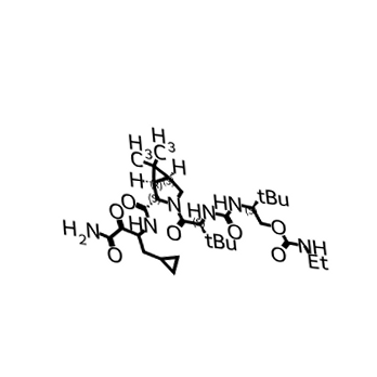 CCNC(=O)OC[C@@H](NC(=O)N[C@H](C(=O)N1C[C@H]2[C@@H]([C@H]1C(=O)NC(CC1CC1)C(=O)C(N)=O)C2(C)C)C(C)(C)C)C(C)(C)C